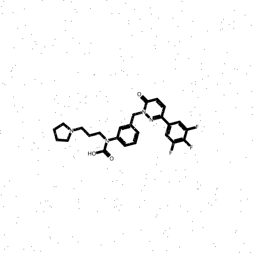 O=C(O)N(CCCN1CCCC1)c1cccc(Cn2nc(-c3cc(F)c(F)c(F)c3)ccc2=O)c1